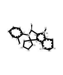 Cc1ccccc1N1[C@@H](C)c2c(c3ncccc3n2C)C12CCCC2